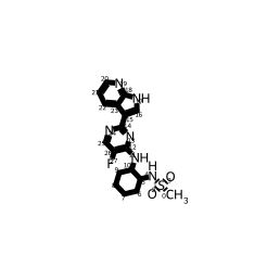 CS(=O)(=O)NC1CCCCC1Nc1nc(-c2c[nH]c3ncccc23)ncc1F